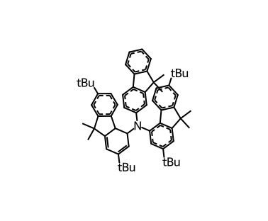 CC(C)(C)C1=CC(N(c2ccc3c(c2)C(C)(C)c2ccccc2-3)c2cc(C(C)(C)C)cc3c2-c2ccc(C(C)(C)C)cc2C3(C)C)C2C(=C1)C(C)(C)c1cc(C(C)(C)C)ccc12